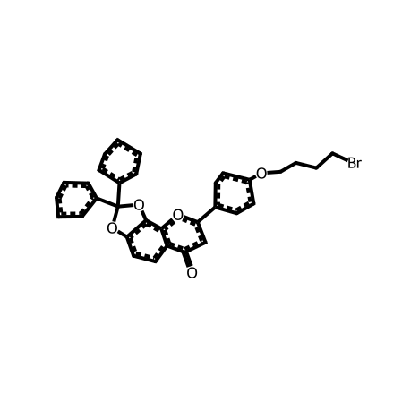 O=c1cc(-c2ccc(OCCCCBr)cc2)oc2c3c(ccc12)OC(c1ccccc1)(c1ccccc1)O3